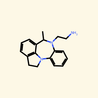 CC1c2cccc3c2N(CC3)c2ccccc2N1CCN